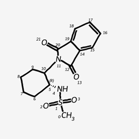 CS(=O)(=O)N[C@@H]1CCCCC1N1C(=O)c2ccccc2C1=O